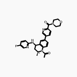 CC(=O)N1c2ccc(-c3ccc(C(=O)N4CCOCC4)nc3)cc2C(Nc2ccc(F)cn2)C[C@@H]1C